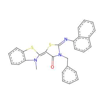 CN1/C(=C2/S/C(=N/c3cccc4ccccc34)N(Cc3ccccc3)C2=O)Sc2ccccc21